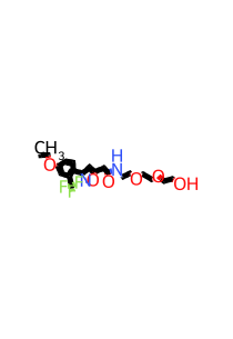 CCCOc1ccc(-c2cc(CC(=O)NCCOCCOCCO)on2)c(C(F)(F)F)c1